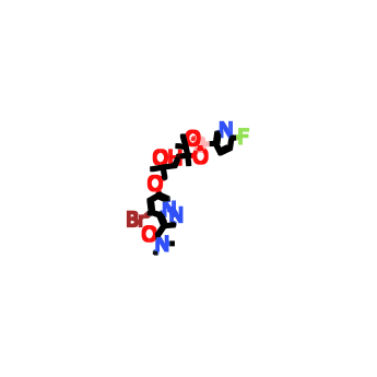 CN(C)C(=O)c1cnn2cc(OCC(C)(O)CCC3(C)OB(c4ccc(F)nc4)OC3(C)C)cc(Br)c12